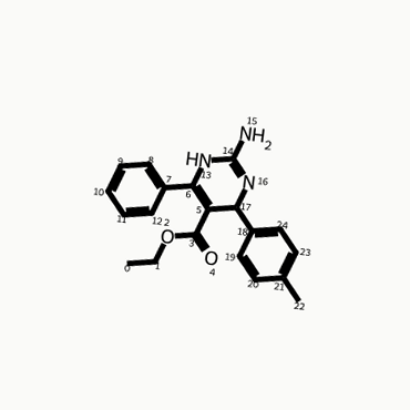 CCOC(=O)C1=C(c2ccccc2)NC(N)=NC1c1ccc(C)cc1